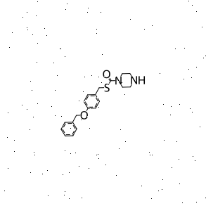 O=C(SCc1ccc(OCc2ccccc2)cc1)N1CCNCC1